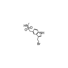 CNS(=O)(=O)Cc1ccc2[nH]cc(CCBr)c2c1